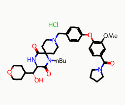 CCCCN1C(=O)[C@@H]([C@H](O)C2CCOCC2)NC(=O)C12CCN(Cc1ccc(Oc3ccc(C(=O)N4CCCC4)cc3OC)cc1)CC2.Cl